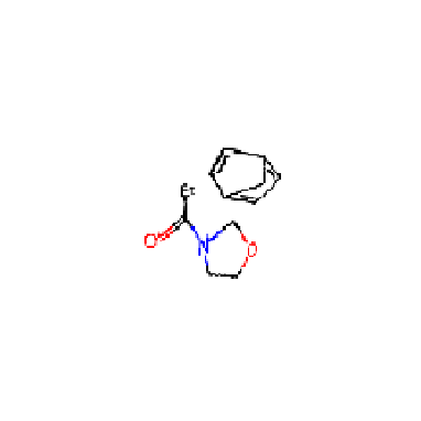 C1=CC2=CC=C1C2.CCC(=O)N1CCOC1